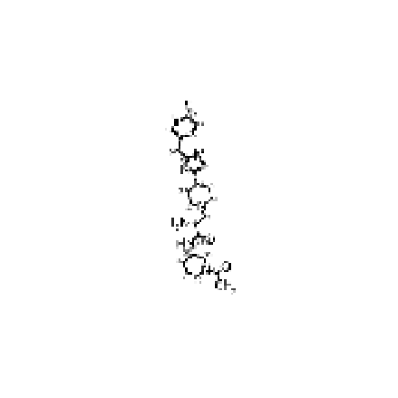 NC(CN1CCN(c2nc(Cc3ccc(F)cc3)ns2)CC1)C(=O)NC1CCCN(C(=O)C(F)(F)F)C1